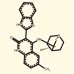 Cc1ccc2[nH]c(=O)c(-c3nc4ccccc4[nH]3)c(N[C@H]3CN4CCC3CC4)c2c1